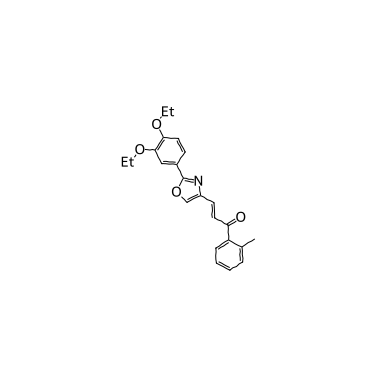 CCOc1ccc(-c2nc(C=CC(=O)c3ccccc3C)co2)cc1OCC